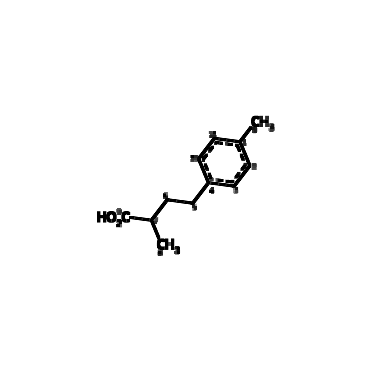 Cc1ccc(CCC(C)C(=O)O)cc1